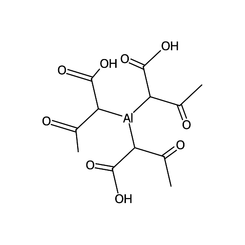 CC(=O)[CH](C(=O)O)[Al]([CH](C(C)=O)C(=O)O)[CH](C(C)=O)C(=O)O